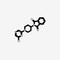 O=C1c2ccccc2C(=O)N1C1CCN(c2cncc(Cl)n2)CC1